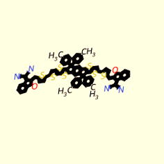 Cc1ccc(C2(c3ccc(C)cc3)c3cc4c(cc3-c3sc5cc(-c6ccc(/C=C7\C(=O)c8ccccc8C7=C(C#N)C#N)s6)sc5c32)C(c2ccc(C)cc2)(c2ccc(C)cc2)c2c-4sc3c2sc2cc(-c4ccc(/C=C5\C(=O)c6ccccc6C5=C(C#N)C#N)s4)sc23)cc1